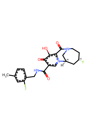 Cc1ccc(CNC(=O)c2cn3c(c(O)c2=O)C(=O)N2CC[C@H](F)C[C@@H]3C2)c(F)c1